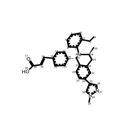 CCc1ccccc1N1[C@@H](c2ccc(/C=C/C(=O)O)cc2)c2ccc(-c3cnn(C)c3)cc2C[C@@H]1C